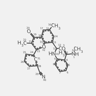 CNC(=O)c1ccccc1NC(C)c1cc(C)cc2c(=O)c(C)c(-c3cccc(C#N)c3)oc12